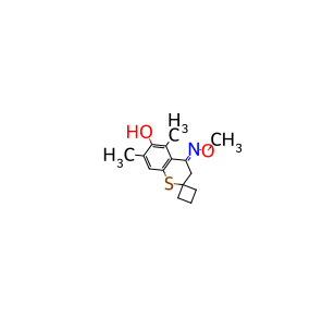 CO/N=C1\CC2(CCC2)Sc2cc(C)c(O)c(C)c21